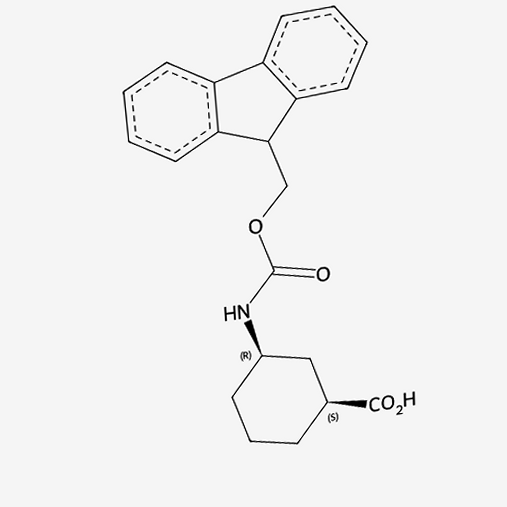 O=C(N[C@@H]1CCC[C@H](C(=O)O)C1)OCC1c2ccccc2-c2ccccc21